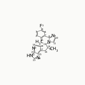 Cc1ccc(F)cc1-c1nccn1CC(C)Cc1ccnc2[nH]cnc12